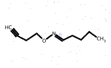 C#CCCO/N=[C]/CCCC